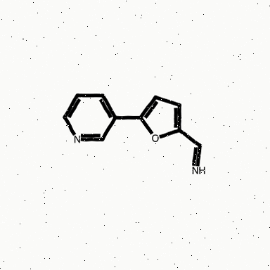 N=Cc1ccc(-c2cccnc2)o1